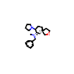 CN(Cc1ccccc1)[C@H]1C[C@@]2(CCOC2)CCC1N1CCCC1